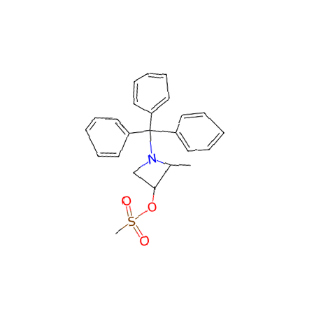 CC1C(OS(C)(=O)=O)CN1C(c1ccccc1)(c1ccccc1)c1ccccc1